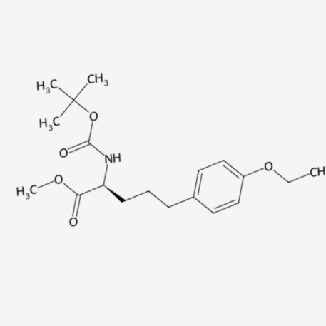 CCOc1ccc(CCC[C@H](NC(=O)OC(C)(C)C)C(=O)OC)cc1